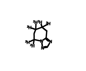 [2H]C1([2H])CC([2H])([2H])C([2H])([2H])Cc2ncnn21